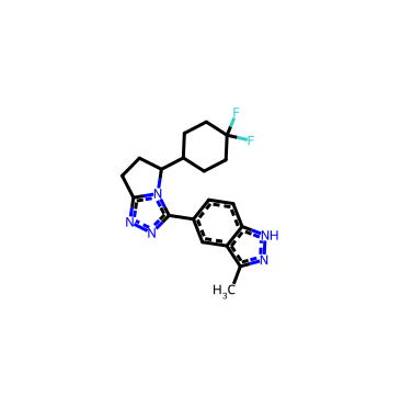 Cc1n[nH]c2ccc(-c3nnc4n3C(C3CCC(F)(F)CC3)CC4)cc12